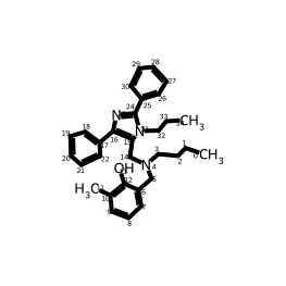 CCCCN(Cc1cccc(C)c1O)Cc1c(-c2ccccc2)nc(-c2ccccc2)n1CCC